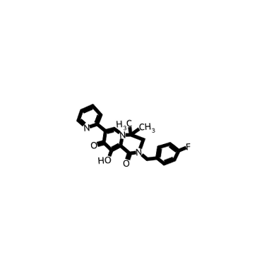 CC1(C)CN(Cc2ccc(F)cc2)C(=O)c2c(O)c(=O)c(-c3ccccn3)cn21